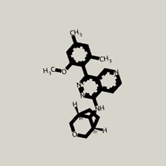 COc1cc(C)cc(C)c1-c1nnc(NC2[C@@H]3CC[C@H]2COC3)c2ccncc12